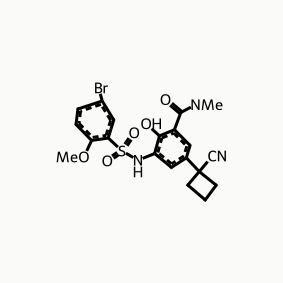 CNC(=O)c1cc(C2(C#N)CCC2)cc(NS(=O)(=O)c2cc(Br)ccc2OC)c1O